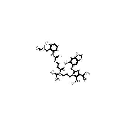 CNc1c(C(=N)N)nc(Sc2cc3c(cc2C)OCO3)n1CCCN(C(=O)CCOC(=O)Nc1cccc(C)c1CNC=O)C(C)C